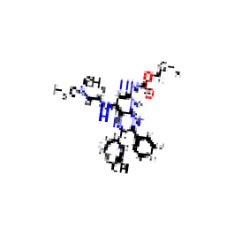 C#C/C=C(\C=C/C)c1nc2c(NCCN(C)C)cc(NC(=O)OCC)nc2nc1-c1ccccc1